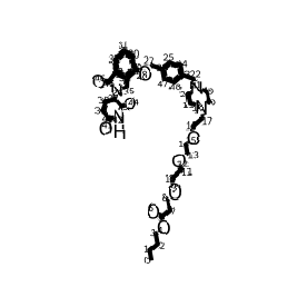 CCCCOC(=O)CCOCCOCCOCCN1CCN(Cc2ccc(COc3cccc4c3CN(C3CCC(=O)NC3=O)C4=O)cc2)CC1